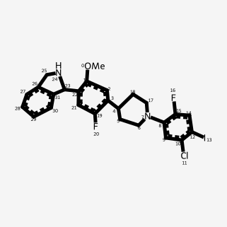 COc1cc(C2CCN(c3cc(Cl)c(I)cc3F)CC2)c(F)cc1C1NCc2ccccc21